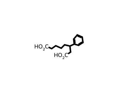 O=C(O)CCCCC(CC(=O)O)c1ccccc1